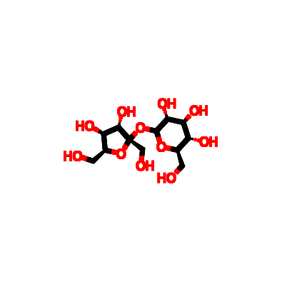 OC[C@@H]1O[C@@](CO)(OC2O[C@H](CO)[C@@H](O)[C@H](O)[C@H]2O)[C@@H](O)[C@@H]1O